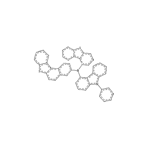 c1ccc(-n2c3ccccc3c3c(N(c4ccc5c(ccc6sc7ccccc7c65)c4)c4cccc5sc6ccccc6c45)cccc32)cc1